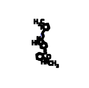 CNC(=O)c1ccccc1Sc1ccc2c(/C=C/c3cccc(C)n3)n[nH]c2c1